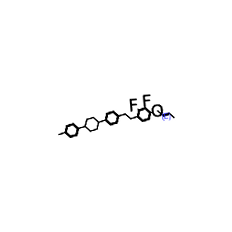 C/C=C/Oc1ccc(CCc2ccc(C3CCC(c4ccc(C)cc4)CC3)cc2)c(F)c1F